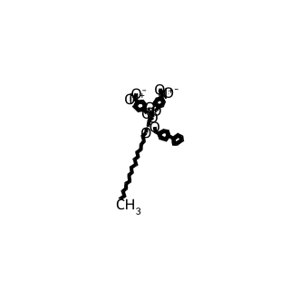 CCCCCCCCCCCCCCCCCCOC[C@H](COP(=O)(Oc1ccc([N+](=O)[O-])cc1)Oc1ccc([N+](=O)[O-])cc1)OCc1ccc(-c2ccccc2)cc1